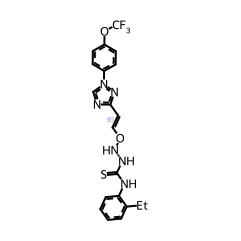 CCc1ccccc1NC(=S)NNO/C=C/c1ncn(-c2ccc(OC(F)(F)F)cc2)n1